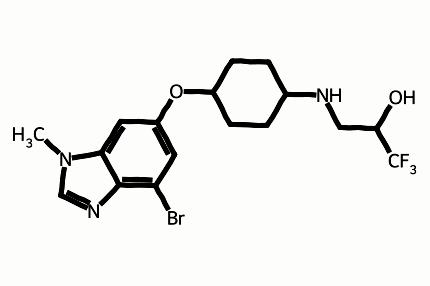 Cn1cnc2c(Br)cc(OC3CCC(NCC(O)C(F)(F)F)CC3)cc21